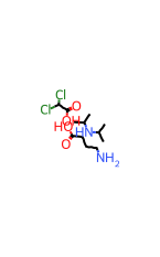 CC(C)NC(C)C.NCCCC(=O)O.O=C(O)C(Cl)Cl